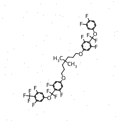 CC(C)(CCCOc1cc(F)c(C(F)(F)Oc2ccc(F)c(F)c2)c(F)c1)CCCOc1cc(F)c(C(F)(F)Oc2cc(F)c(C(F)(F)F)c(F)c2)c(F)c1